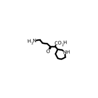 NCCCC(=O)C(C(=O)O)C1CCCCNC1